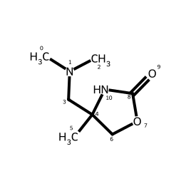 CN(C)CC1(C)COC(=O)N1